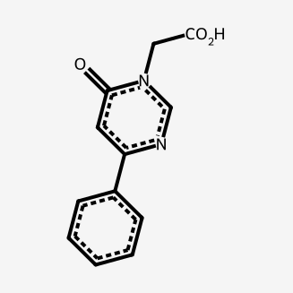 O=C(O)Cn1cnc(-c2ccccc2)cc1=O